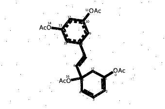 CC(=O)OC1=CC=CC(C=Cc2cc(OC(C)=O)cc(OC(C)=O)c2)(OC(C)=O)C1